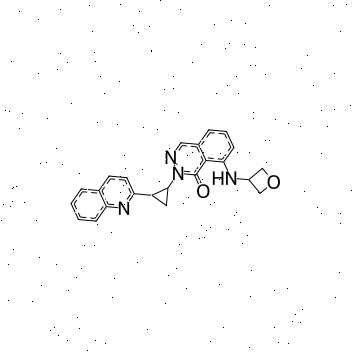 O=c1c2c(NC3COC3)cccc2cnn1C1CC1c1ccc2ccccc2n1